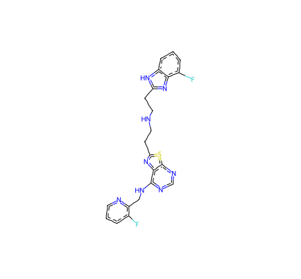 Fc1cccnc1CNc1ncnc2sc(CCNCCc3nc4c(F)cccc4[nH]3)nc12